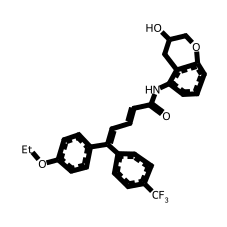 CCOc1ccc(/C(=C/C=C/C(=O)Nc2cccc3c2CC(O)CO3)c2ccc(C(F)(F)F)cc2)cc1